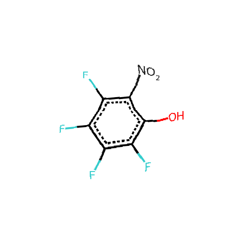 O=[N+]([O-])c1c(O)c(F)c(F)c(F)c1F